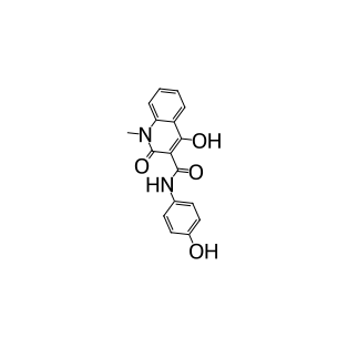 Cn1c(=O)c(C(=O)Nc2ccc(O)cc2)c(O)c2ccccc21